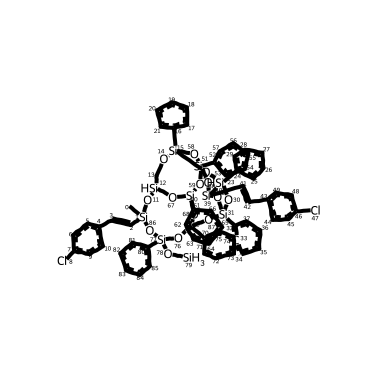 C[Si]1(/C=C/c2ccc(Cl)cc2)O[SiH]2CO[Si]3(c4ccccc4)O[SiH](c4ccccc4)O[Si]4(c5ccccc5)O[Si](C)(/C=C/c5ccc(Cl)cc5)O[Si](c5ccccc5)(O3)O[Si](c3ccccc3)(O2)O[Si](c2ccccc2)(O[Si](O[SiH3])(c2ccccc2)O1)O4